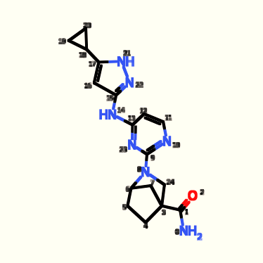 NC(=O)C12CCC(C1)N(c1nccc(Nc3cc(C4CC4)[nH]n3)n1)C2